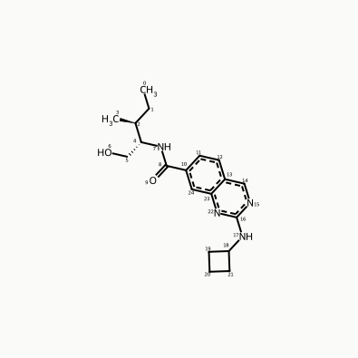 CC[C@H](C)[C@@H](CO)NC(=O)c1ccc2cnc(NC3CCC3)nc2c1